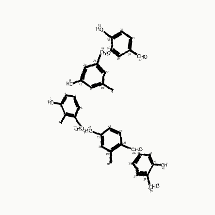 Cc1c(O)cccc1C=O.Cc1cc(O)cc(C=O)c1.Cc1cc(O)ccc1C=O.O=Cc1ccc(O)cc1.O=Cc1ccccc1O